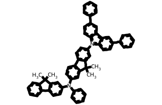 CC1(C)c2ccccc2-c2ccc(N(c3ccccc3)c3ccc4c(c3)C(C)(C)c3cc(-n5c6ccc(-c7ccccc7)cc6c6cc(-c7ccccc7)ccc65)ccc3-4)cc21